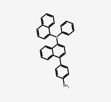 Nc1ccc(-c2ccc(N(c3ccccc3)c3cccc4ccccc34)c3ccccc23)cc1